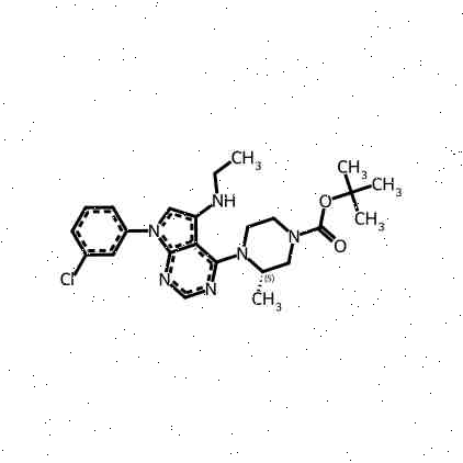 CCNc1cn(-c2cccc(Cl)c2)c2ncnc(N3CCN(C(=O)OC(C)(C)C)C[C@@H]3C)c12